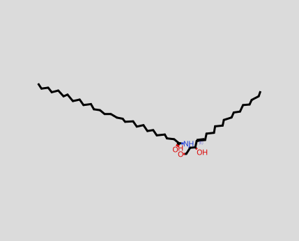 CCCCCCCCCCCCC/C=C/C(O)C(CO)NC(=O)CCCCCCCCCCCCCCCCCCCCCCCCCCC